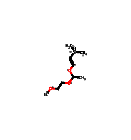 CCOCCOC(C)OC=C[SiH](C)C